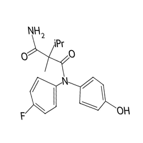 CC(C)C(C)(C(N)=O)C(=O)N(c1ccc(O)cc1)c1ccc(F)cc1